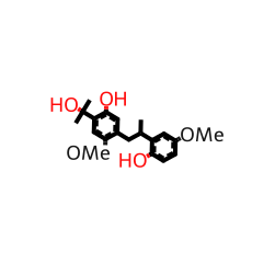 COc1ccc(O)c(C(C)Cc2cc(O)c(C(C)(C)O)cc2OC)c1